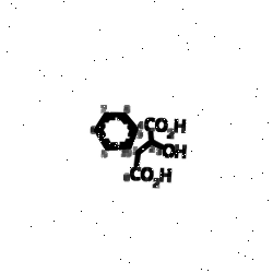 O=C(O)CC(O)C(=O)O.c1ccccc1